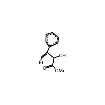 CCC=C(c1ccccc1)C(O)C(=O)OC